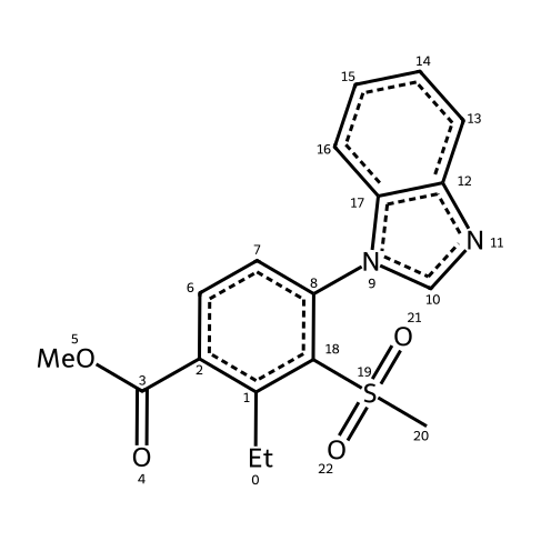 CCc1c(C(=O)OC)ccc(-n2cnc3ccccc32)c1S(C)(=O)=O